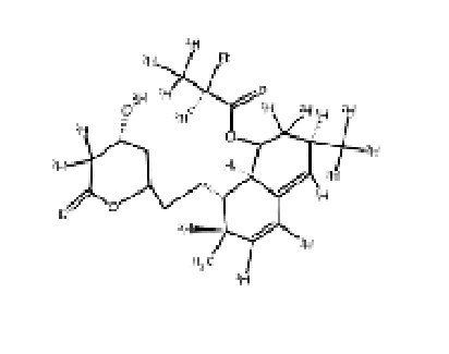 [2H]O[C@@H]1CC(CC[C@@H]2[C@@H]3C(=C([2H])[C@]([2H])(C([2H])([2H])[2H])C([2H])([2H])C3OC(=O)[C@]([2H])(CC)C([2H])([2H])[2H])C([2H])=C([2H])[C@]2([2H])C)OC(=O)C1([2H])[2H]